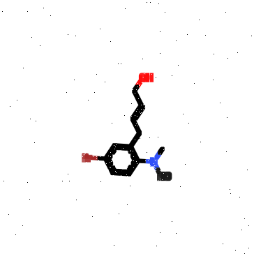 CN(N=O)c1ccc(Br)cc1C/C=C/CO